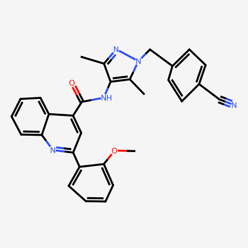 COc1ccccc1-c1cc(C(=O)Nc2c(C)nn(Cc3ccc(C#N)cc3)c2C)c2ccccc2n1